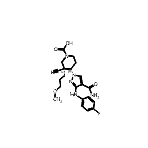 COCCC[C@]1(C#N)CN(C(=O)O)CC[C@@H]1n1cc(C(N)=O)c(Nc2ccc(F)cc2)n1